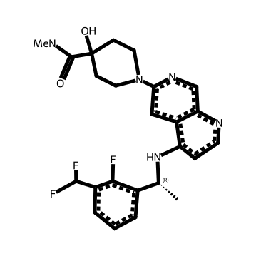 CNC(=O)C1(O)CCN(c2cc3c(N[C@H](C)c4cccc(C(F)F)c4F)ccnc3cn2)CC1